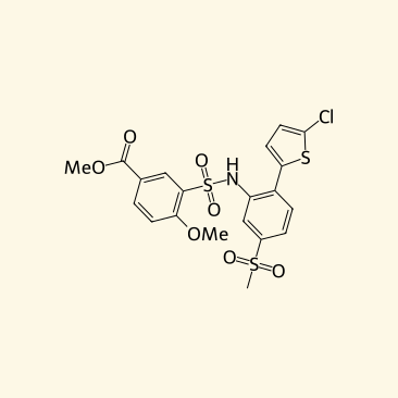 COC(=O)c1ccc(OC)c(S(=O)(=O)Nc2cc(S(C)(=O)=O)ccc2-c2ccc(Cl)s2)c1